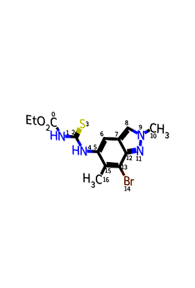 CCOC(=O)NC(=S)Nc1cc2cn(C)nc2c(Br)c1C